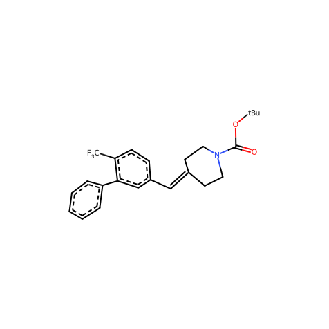 CC(C)(C)OC(=O)N1CCC(=Cc2ccc(C(F)(F)F)c(-c3ccccc3)c2)CC1